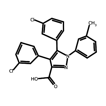 Cc1cccc(-n2nc(C(=O)O)c(-c3cccc(Cl)c3)c2-c2cccc(Cl)c2)c1